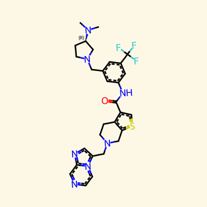 CN(C)[C@@H]1CCN(Cc2cc(NC(=O)c3csc4c3CCN(Cc3cnc5cnccn35)C4)cc(C(F)(F)F)c2)C1